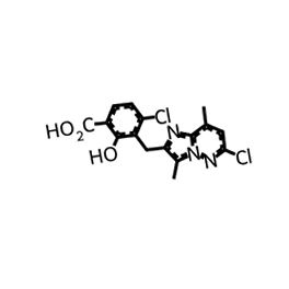 Cc1cc(Cl)nn2c(C)c(Cc3c(Cl)ccc(C(=O)O)c3O)nc12